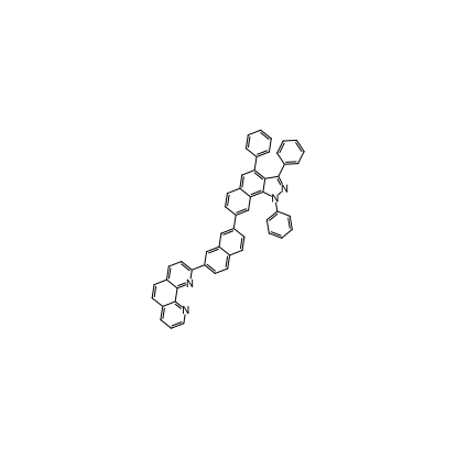 c1ccc(-c2cc3ccc(-c4ccc5ccc(-c6ccc7ccc8cccnc8c7n6)cc5c4)cc3c3c2c(-c2ccccc2)nn3-c2ccccc2)cc1